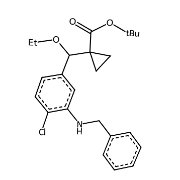 CCOC(c1ccc(Cl)c(NCc2ccccc2)c1)C1(C(=O)OC(C)(C)C)CC1